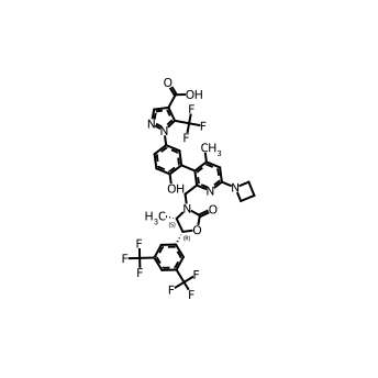 Cc1cc(N2CCC2)nc(CN2C(=O)O[C@H](c3cc(C(F)(F)F)cc(C(F)(F)F)c3)[C@@H]2C)c1-c1cc(-n2ncc(C(=O)O)c2C(F)(F)F)ccc1O